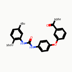 CNC(=O)c1cccc(Oc2ccc(NC(=O)Nc3cc(C(C)(C)C)ccc3OC)cc2)c1